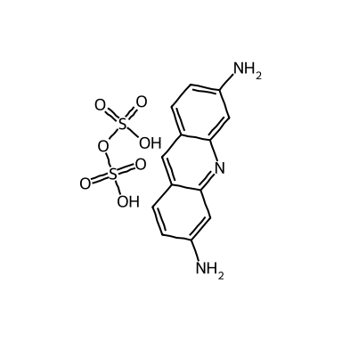 Nc1ccc2cc3ccc(N)cc3nc2c1.O=S(=O)(O)OS(=O)(=O)O